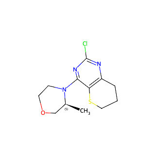 C[C@H]1COCCN1c1nc(Cl)nc2c1SCCC2